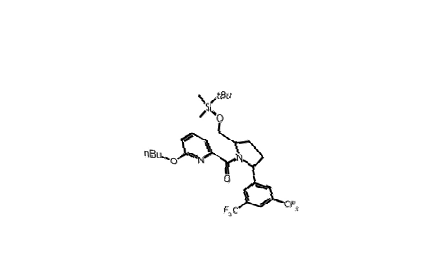 CCCCOc1cccc(C(=O)N2C(CO[Si](C)(C)C(C)(C)C)CCC2c2cc(C(F)(F)F)cc(C(F)(F)F)c2)n1